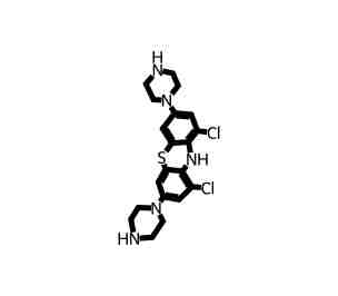 Clc1cc(N2CCNCC2)cc2c1Nc1c(Cl)cc(N3CCNCC3)cc1S2